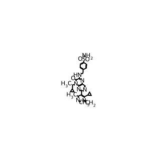 C=N/C(=C(\C(C)=N/C)c1ncc2nc(NCc3ccc(S(N)(=O)=O)cc3)c(=O)n([C@@H](C)C3CC3)c2n1)C1CC1